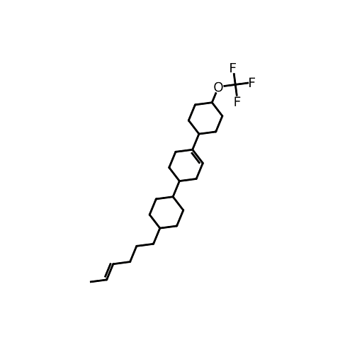 C/C=C/CCCC1CCC(C2CC=C(C3CCC(OC(F)(F)F)CC3)CC2)CC1